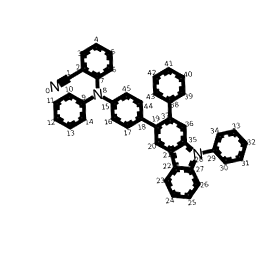 N#Cc1ccccc1N(c1ccccc1)c1ccc(-c2cc3c4ccccc4n(-c4ccccc4)c3cc2-c2ccccc2)cc1